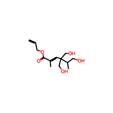 C=CCOC(=O)C(C)=CC(CO)(CO)C(C)CO